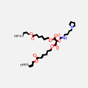 CCCCCC/C=C\COC(=O)CCCCCOC(=O)C(OC(=O)NCCCCN1CCCC1)C(=O)OCCCCCC(=O)OC/C=C\CCCCCC